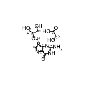 CC(O)C(=O)O.Nc1nc2c(ncn2COC(CO)CO)c(=O)[nH]1